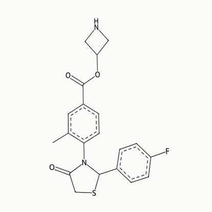 Cc1cc(C(=O)OC2CNC2)ccc1N1C(=O)CSC1c1ccc(F)cc1